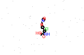 C/C(O)=C1\C(=O)Nc2cc(Cl)c(-c3ccc(OCCN4CCOCC4)cc3)cc21